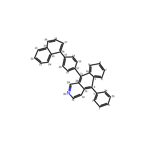 c1ccc(-c2c3ccccc3c(-c3ccc(-c4cccc5ccccc45)cc3)c3cnccc23)cc1